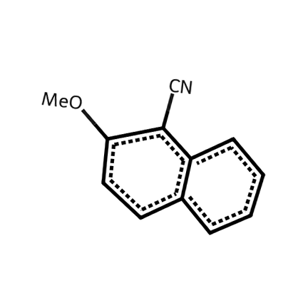 COc1ccc2ccccc2c1C#N